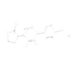 COc1ccc(-c2cnn(C3CCOC3=O)c(=O)n2)cc1